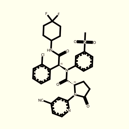 CS(=O)(=O)c1cccc(N(C(=O)[C@@H]2CCC(=O)N2c2cc(C#N)ccn2)[C@H](C(=O)NC2CCC(F)(F)CC2)c2ccccc2Cl)c1